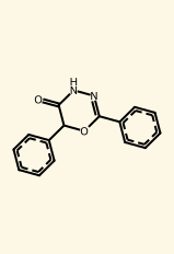 O=C1NN=C(c2ccccc2)OC1c1ccccc1